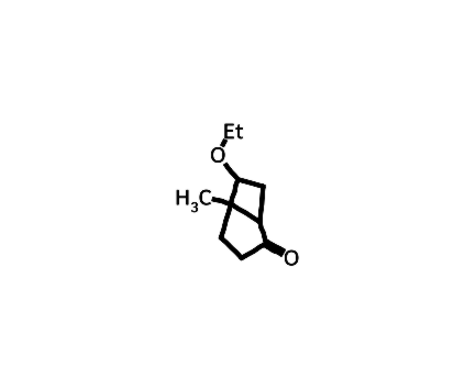 CCOC1CC2C(=O)CCC12C